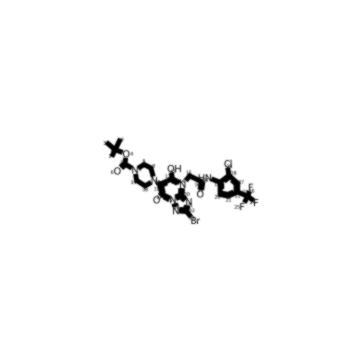 CC(C)(C)OC(=O)N1CCN(c2c(O)n(CC(=O)Nc3ccc(C(F)(F)F)cc3Cl)c3nc(Br)nn3c2=O)CC1